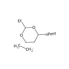 CCCCCC1CCOC(CC)O1.[CH2]C